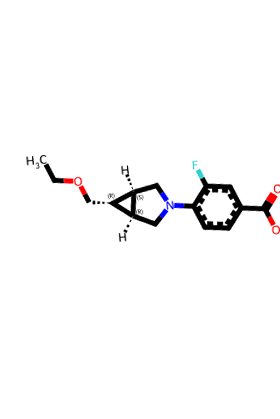 CCOC[C@@H]1[C@H]2CN(c3ccc(C(=O)O)cc3F)C[C@@H]12